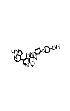 COc1ncc(-c2ccnc3[nH]ccc23)cc1-c1nc2cc(N3CCC(O)CC3)ccc2[nH]1